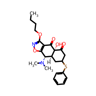 CCCCOc1noc2c1C(=O)[C@@]1(O)C(=O)CC(Sc3ccccc3)C[C@H]1[C@@H]2N(C)C